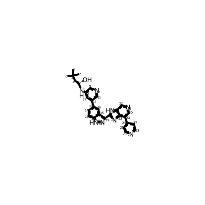 CC(C)(C)C[C@H](O)Nc1cncc(-c2ccc3[nH]nc(-c4nc5c(-c6ccncc6)cncc5[nH]4)c3c2)c1